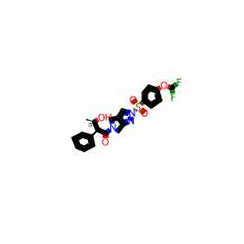 C[C@H](O)[C@@H](C(=O)N1Cc2cn(S(=O)(=O)c3ccc(OC(F)F)cc3)nc2C1)c1ccccc1